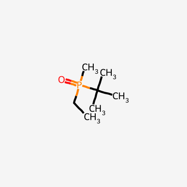 CCP(C)(=O)C(C)(C)C